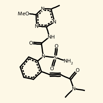 COc1nc(C)nc(NC(=O)N(c2ccccc2C#CC(=O)N(C)C)S(N)(=O)=O)n1